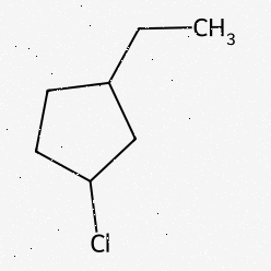 CCC1CCC(Cl)C1